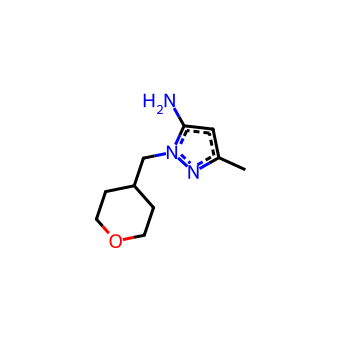 Cc1cc(N)n(CC2CCOCC2)n1